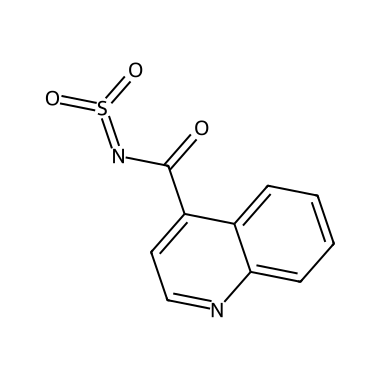 O=C(N=S(=O)=O)c1ccnc2ccccc12